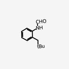 CC(C)(C)Cc1ccccc1NC=O